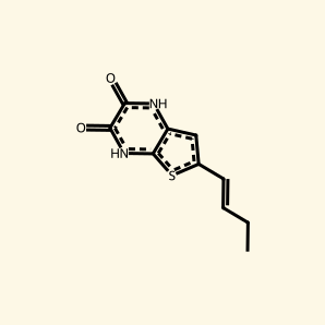 CCC=Cc1cc2[nH]c(=O)c(=O)[nH]c2s1